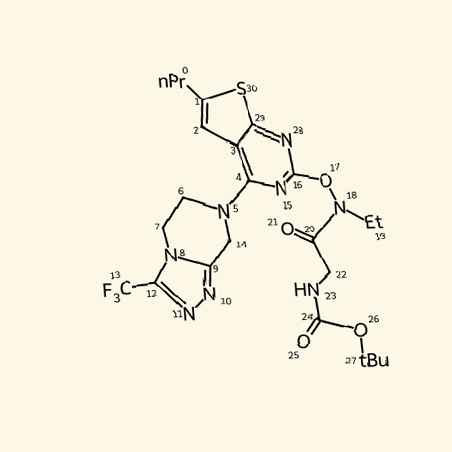 CCCc1cc2c(N3CCn4c(nnc4C(F)(F)F)C3)nc(ON(CC)C(=O)CNC(=O)OC(C)(C)C)nc2s1